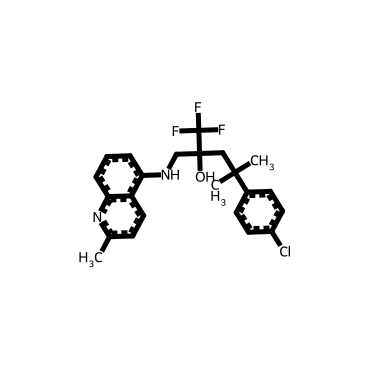 Cc1ccc2c(NCC(O)(CC(C)(C)c3ccc(Cl)cc3)C(F)(F)F)cccc2n1